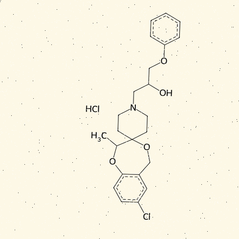 CC1Oc2ccc(Cl)cc2COC12CCN(CC(O)COc1ccccc1)CC2.Cl